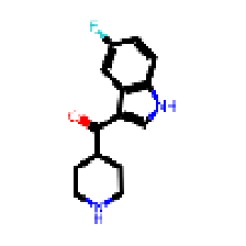 O=C(c1c[nH]c2ccc(F)cc12)C1CCNCC1